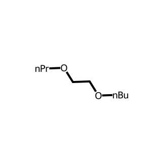 [CH2]CCCOCCOC[CH]C